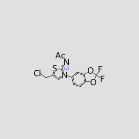 CC(=O)/N=c1\sc(CCl)cn1-c1ccc2c(c1)OC(F)(F)O2